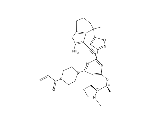 C=CC(=O)N1CCN(c2cc(O[C@@H](C)[C@@H]3CCCN3C)nc(-c3cc(C4(C)CCCc5sc(N)c(C#N)c54)on3)n2)CC1